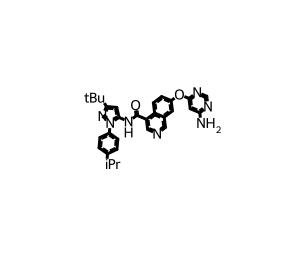 CC(C)c1ccc(-n2nc(C(C)(C)C)cc2NC(=O)c2cncc3cc(Oc4cc(N)ncn4)ccc23)cc1